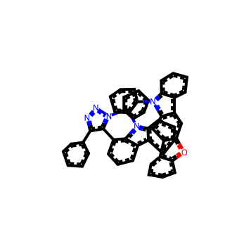 c1ccc(-c2nnn(-c3ccccc3)c2-c2cccc3c4ccccc4n(-c4ccccc4-n4c5ccccc5c5cc6oc7ccccc7c6cc54)c23)cc1